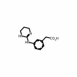 O=C(O)Cc1cccc(NC2=NCCCN2)c1